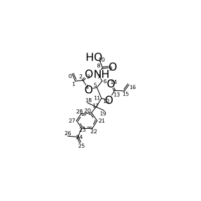 C=CC(=O)OC(CNC(=O)O)C(OC(=O)C=C)C(C)(C)c1ccc(C(=C)C)cc1